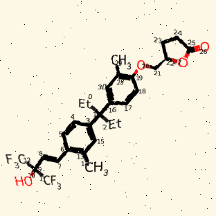 CCC(CC)(c1ccc(C=CC(O)(C(F)(F)F)C(F)(F)F)c(C)c1)c1ccc(OC[C@H]2CCC(=O)O2)c(C)c1